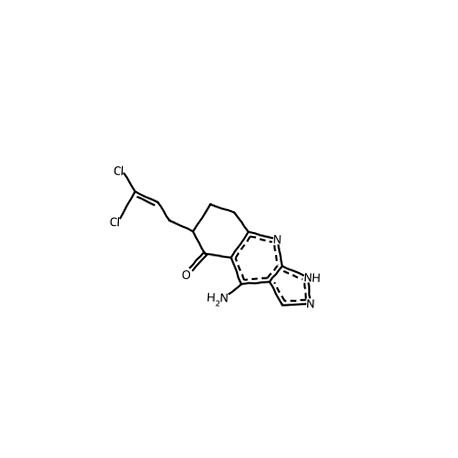 Nc1c2c(nc3[nH]ncc13)CCC(CC=C(Cl)Cl)C2=O